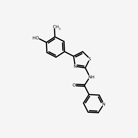 Cc1cc(-c2csc(NC(=O)c3cccnc3)n2)ccc1O